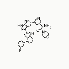 NN(C(=O)N1CCOCC1)c1cncc(-c2cnc3[nH]nc(-c4nc5c(-c6cccc(F)c6)cccc5[nH]4)c3c2)c1